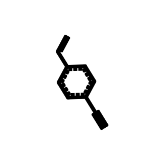 C#Cc1ccc(C=C)cc1